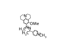 COc1c(N(C)/N=C(\C)c2cc[n+](C)cc2)cc2c3c1CCCN3CCC2